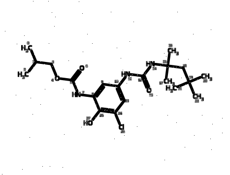 CC(C)COC(=O)Nc1cc(NC(=O)NC(C)(C)CC(C)(C)C)cc(Cl)c1O